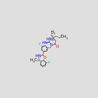 CCC[C@]1(C)CC(=O)N(Cc2cc(F)cc(C(=O)N[C@@H](C)c3cccc(F)c3)c2)C(=N)N1